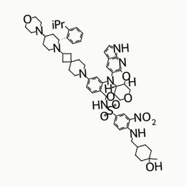 CC(C)c1ccccc1[C@H]1C[C@H](N2CCOCC2)CCN1C1CC2(CCN(c3ccc(C(=O)NS(=O)(=O)c4ccc(NCC5CCC(C)(O)CC5)c([N+](=O)[O-])c4)c(N4c5cc6cc[nH]c6nc5O[C@H]5COCC[C@@H]54)c3)CC2)C1